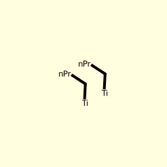 CCC[CH2][Ti].CCC[CH2][Ti]